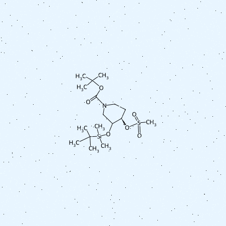 CC(C)(C)OC(=O)N1CC[C@@H](OS(C)(=O)=O)C(O[Si](C)(C)C(C)(C)C)C1